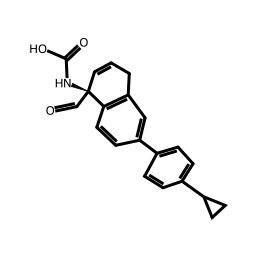 O=C[C@]1(NC(=O)O)C=CCc2cc(-c3ccc(C4CC4)cc3)ccc21